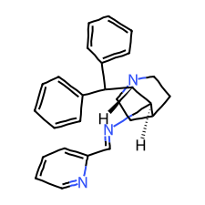 C(=N\[C@@H]1C2CCN(CC2)[C@H]1C(c1ccccc1)c1ccccc1)/c1ccccn1